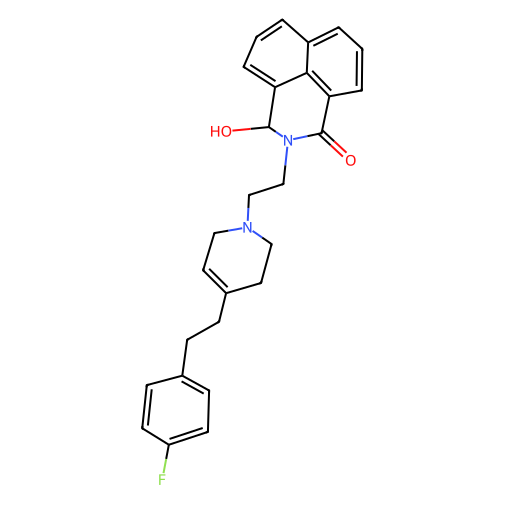 O=C1c2cccc3cccc(c23)C(O)N1CCN1CC=C(CCc2ccc(F)cc2)CC1